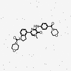 Cn1cc(-c2cccc3c2CCN3C(=O)N2CCOCC2)nc(Nc2ccc(C(=O)N3CCOCC3)cc2)c1=O